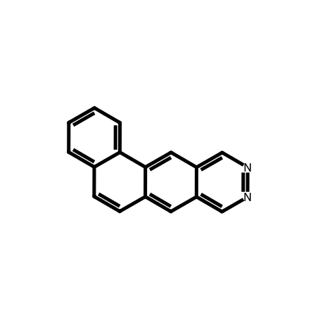 c1ccc2c(c1)ccc1cc3cnncc3cc12